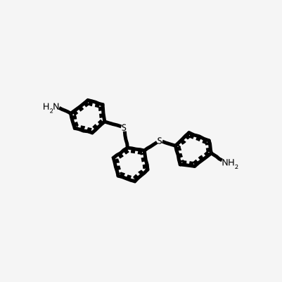 Nc1ccc(Sc2ccccc2Sc2ccc(N)cc2)cc1